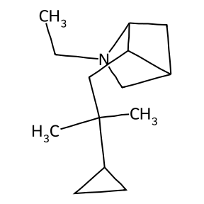 CCN1CC2CC1C2CC(C)(C)C1CC1